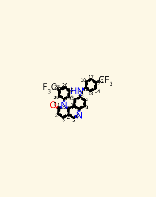 O=c1ccc2cnc3ccc(Nc4ccc(C(F)(F)F)cc4)cc3c2n1-c1cccc(C(F)(F)F)c1